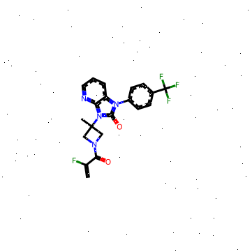 C=C(F)C(=O)N1CC(C)(n2c(=O)n(-c3ccc(C(F)(F)F)cc3)c3cccnc32)C1